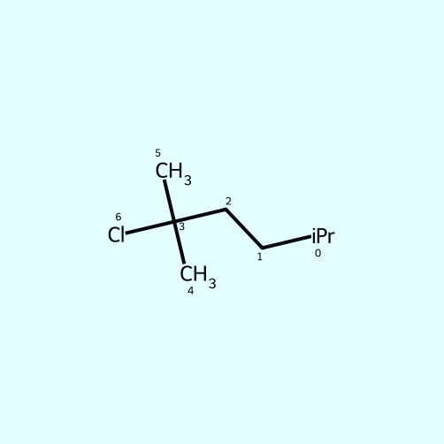 CC(C)CCC(C)(C)Cl